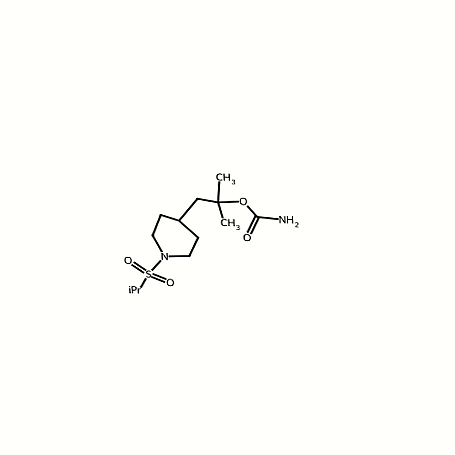 CC(C)S(=O)(=O)N1CCC(CC(C)(C)OC(N)=O)CC1